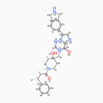 C[C@H](CC(=O)N1CCC(O)(Cn2cnn3c(-c4ccc5c(c4)CNC5)cnc3c2=O)CC1)c1ccccc1